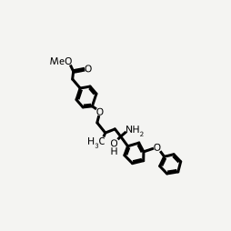 COC(=O)Cc1ccc(OCC(C)CC(N)(O)c2cccc(Oc3ccccc3)c2)cc1